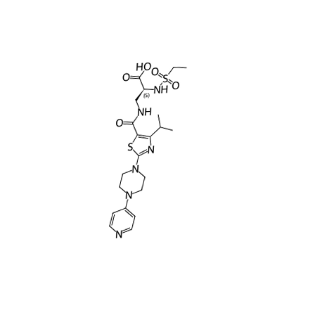 CCS(=O)(=O)N[C@@H](CNC(=O)c1sc(N2CCN(c3ccncc3)CC2)nc1C(C)C)C(=O)O